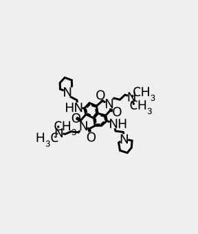 CN(C)CCCN1C(=O)c2cc(NCCN3CCCCC3)c3c4c(cc(NCCN5CCCCC5)c(c24)C1=O)C(=O)N(CCCN(C)C)C3=O